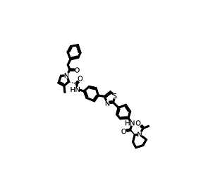 CC(=O)N1CCCC[C@H]1C(=O)Nc1ccc(-c2nc(-c3ccc(NC(=O)[C@@H]4C(C)=CCN4C(=O)Cc4ccccc4)cc3)cs2)cc1